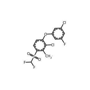 [CH2]c1c(S(=O)(=O)C(F)F)ccc(Oc2cc(F)cc(Cl)c2)c1Cl